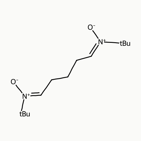 CC(C)(C)[N+]([O-])=CCCCC=[N+]([O-])C(C)(C)C